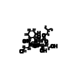 CC(C)CO[C@H]1O[C@H](CO)[C@@H](O)[C@@H](O)[C@]1(O)N(C(=O)N(CCCl)N=O)C1CCCCC1